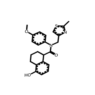 COc1ccc(N(Cc2csc(C)n2)C(=O)C2CCCc3c(O)cccc32)cc1